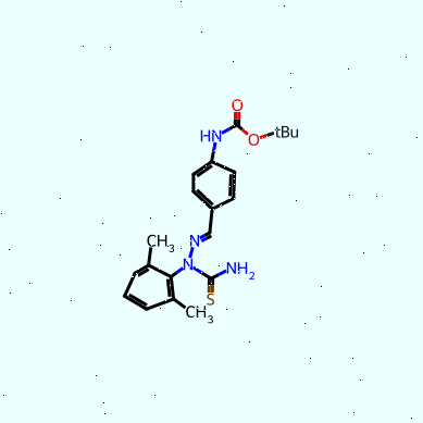 Cc1cccc(C)c1N(N=Cc1ccc(NC(=O)OC(C)(C)C)cc1)C(N)=S